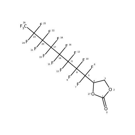 O=C1OCC(C(F)(F)C(F)(F)C(F)(F)C(F)(F)C(F)(F)C(F)(F)C(F)(F)C(F)(F)F)O1